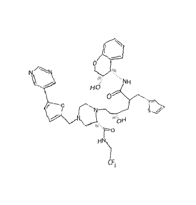 O=C(N[C@H]1c2ccccc2OC[C@H]1O)C(Cc1cccs1)C[C@H](O)CN1CCN(Cc2ccc(-c3cncnc3)o2)C[C@H]1C(=O)NCC(F)(F)F